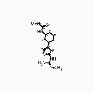 C/N=C(/N)Nc1nc(C2CCCC(NC(=S)NC)C2)cs1